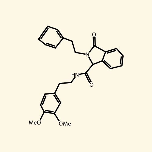 COc1ccc(CCNC(=O)C2c3ccccc3C(=O)N2CCc2ccccc2)cc1OC